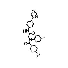 COC1CCC(C(=O)N(CC(=O)Nc2ccc(-c3cocn3)cc2)c2ccc(C)cc2)CC1